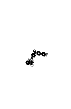 Cc1c(SCc2ccc(C(=O)N3CCC(c4ccc(F)cc4)CC3)cc2)nc2ccccn2c1=O